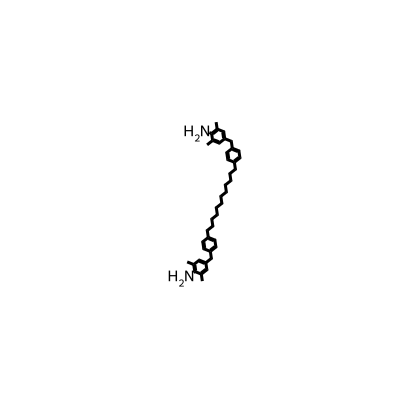 Cc1cc(Cc2ccc(CCCCCCCCCCCCc3ccc(Cc4cc(C)c(N)c(C)c4)cc3)cc2)cc(C)c1N